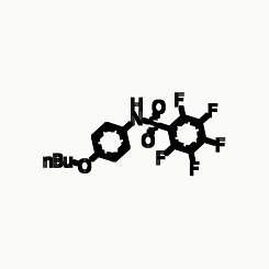 CCCCOc1ccc(NS(=O)(=O)c2c(F)c(F)c(F)c(F)c2F)cc1